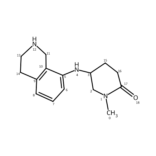 CN1CC(Nc2cccc3c2CNCC3)CCC1=O